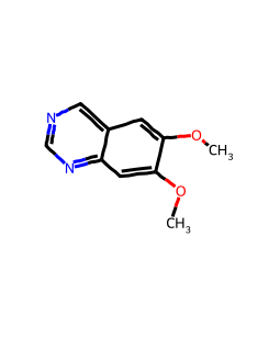 COc1cc2cncnc2cc1OC